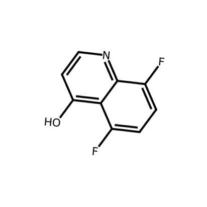 Oc1ccnc2c(F)ccc(F)c12